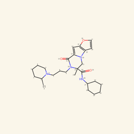 CCC1CCCCN1CCCN1C(=O)c2cc3occc3n2CC1(C)C(=O)NC1CCCCC1